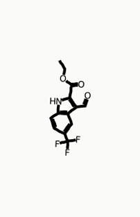 CCOC(=O)c1[nH]c2ccc(C(F)(F)F)cc2c1C=O